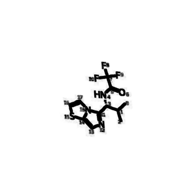 CC(C)[C@@H](NC(=O)C(F)(F)F)c1ncc2sccn12